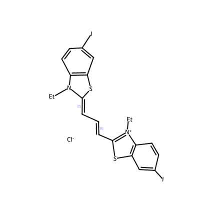 CCN1/C(=C/C=C/c2sc3cc(I)ccc3[n+]2CC)Sc2cc(I)ccc21.[Cl-]